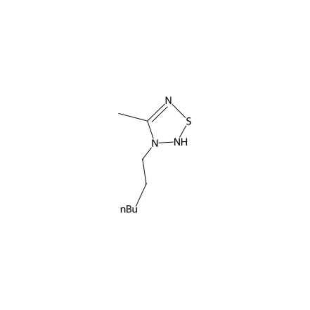 CCCCCCN1NSN=C1C